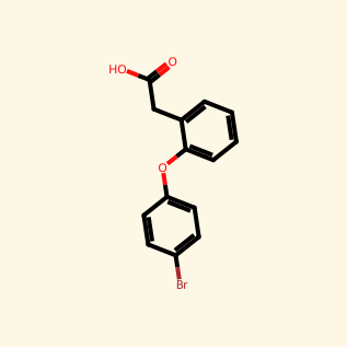 O=C(O)Cc1ccccc1Oc1ccc(Br)cc1